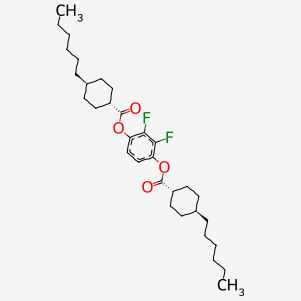 CCCCCC[C@H]1CC[C@H](C(=O)Oc2ccc(OC(=O)[C@H]3CC[C@H](CCCCCC)CC3)c(F)c2F)CC1